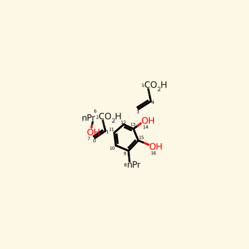 C=CC(=O)O.C=CC(=O)O.CCCO.CCCc1cccc(O)c1O